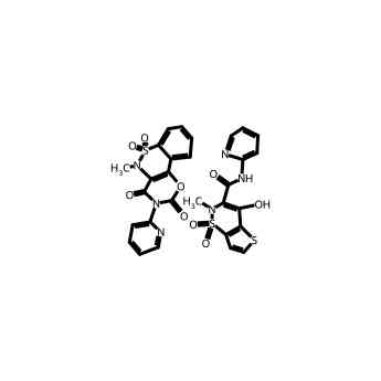 CN1C(C(=O)Nc2ccccn2)=C(O)c2sccc2S1(=O)=O.CN1c2c(oc(=O)n(-c3ccccn3)c2=O)-c2ccccc2S1(=O)=O